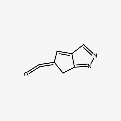 O=C=C1C=C2C=NN=C2C1